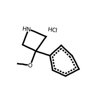 COC1(c2ccccc2)CNC1.Cl